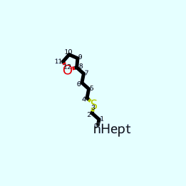 CCCCCCCCCSCCCCC1CCCO1